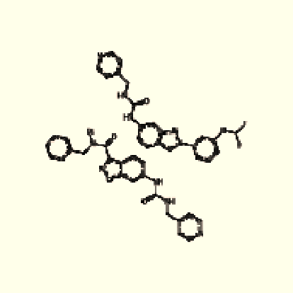 CCN(Cc1ccccc1)C(=O)c1noc2cc(NC(=O)NCc3ccncc3)ccc12.O=C(NCc1ccncc1)Nc1ccc2cn(-c3cccc(OC(F)F)c3)nc2c1